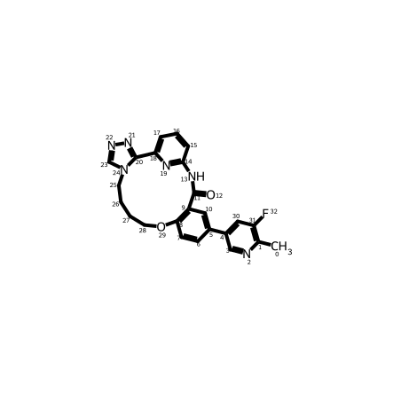 Cc1ncc(-c2ccc3c(c2)C(=O)Nc2cccc(n2)-c2nncn2CCCCO3)cc1F